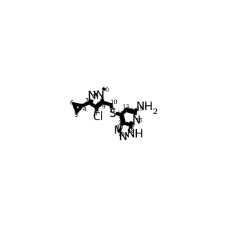 Cn1nc(C2CC2)c(Cl)c1CSc1cc(N)nc2[nH]nnc12